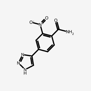 NC(=O)c1ccc(-c2c[nH]nn2)cc1[N+](=O)[O-]